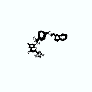 Cc1cc(NC(=O)c2ccc(OCCc3ccc4ccccc4c3)cc2)c2oc(-c3nnn[nH]3)cc(=O)c2c1